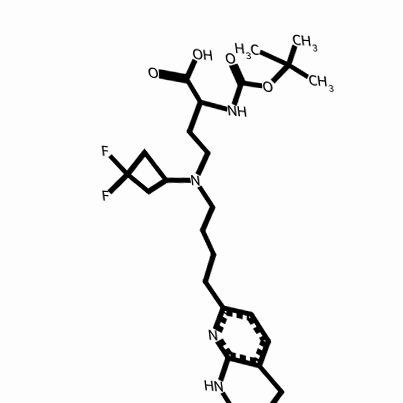 CC(C)(C)OC(=O)NC(CCN(CCCCc1ccc2c(n1)NCCC2)C1CC(F)(F)C1)C(=O)O